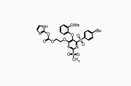 COc1ccccc1Oc1c(OCCOC(=O)Oc2ncc[nH]2)nc(S(C)(=O)=O)nc1S(=O)(=O)c1ccc(C(C)(C)C)cc1